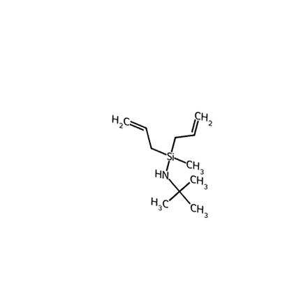 C=CC[Si](C)(CC=C)NC(C)(C)C